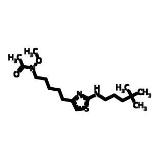 CON(CCCCCc1csc(NCCCC(C)(C)C)n1)C(C)=O